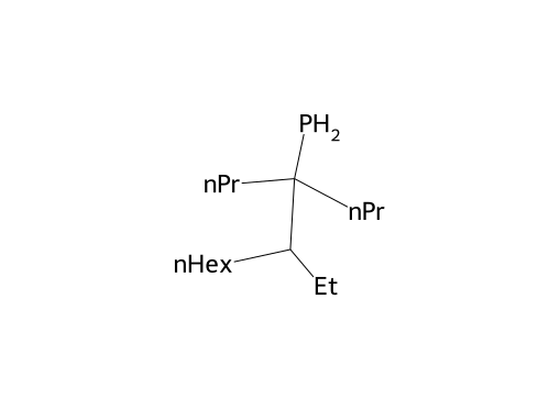 CCCCCCC(CC)C(P)(CCC)CCC